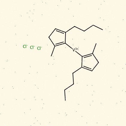 CCCCC1=CCC(C)=[C]1[V+3][C]1=C(C)CC=C1CCCC.[Cl-].[Cl-].[Cl-]